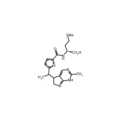 CSCC[C@H](NC(=O)c1ccc(C(C)C2CN=C3NC(C)=NC=C32)s1)C(=O)O